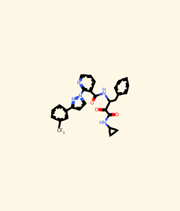 O=C(NC1CC1)C(=O)C(Cc1ccccc1)NC(=O)c1cccnc1-n1ccc(-c2cccc(C(F)(F)F)c2)n1